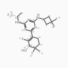 C[C@H](Nc1nc(NC2CC(F)(F)C2)nc(C2=C(F)[C@@H](O)C(F)(F)CC2)n1)C(F)(F)F